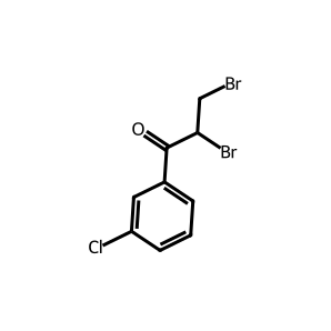 O=C(c1cccc(Cl)c1)C(Br)CBr